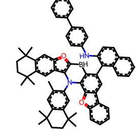 Cc1cc2c(cc1N1c3c(oc4cc5c(cc34)C(C)(C)CCC5(C)C)Bc3c(-c4c(Nc5ccc(-c6ccccc6)cc5)ccc5ccccc45)cc4c(oc5ccccc54)c31)C(C)(C)CCC2(C)C